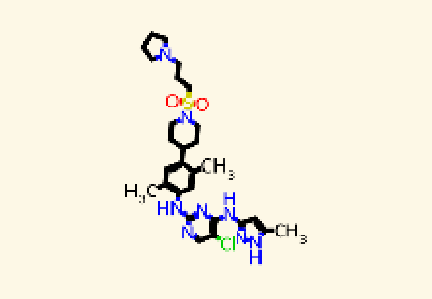 Cc1cc(Nc2nc(Nc3cc(C)c(C4CCN(S(=O)(=O)CCCN5CCCC5)CC4)cc3C)ncc2Cl)n[nH]1